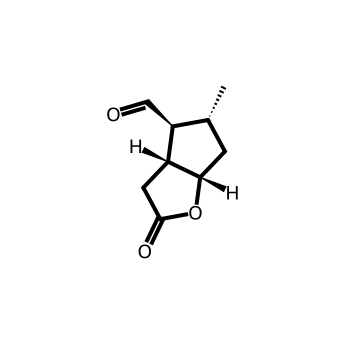 C[C@@H]1C[C@@H]2OC(=O)C[C@@H]2[C@H]1C=O